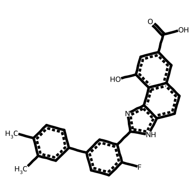 Cc1ccc(-c2ccc(F)c(-c3nc4c(ccc5cc(C(=O)O)cc(O)c54)[nH]3)c2)cc1C